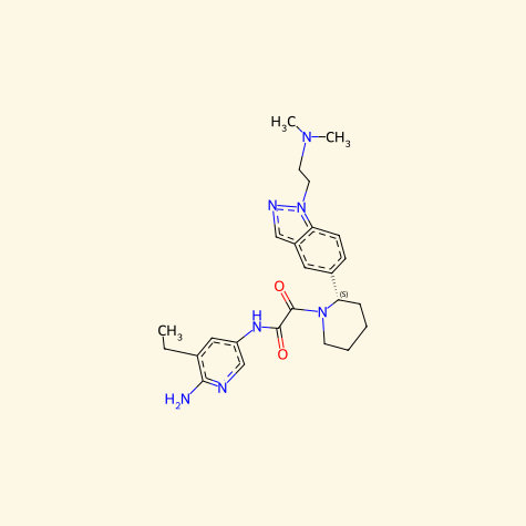 CCc1cc(NC(=O)C(=O)N2CCCC[C@H]2c2ccc3c(cnn3CCN(C)C)c2)cnc1N